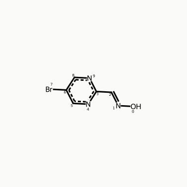 ON=Cc1ncc(Br)cn1